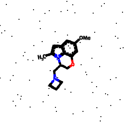 COc1cc2c3c(c1)cc(C)n3C(CN1CCC1)CO2